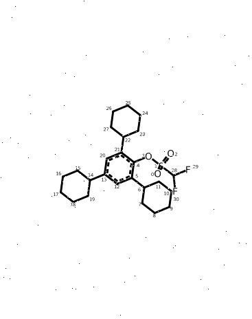 O=S(=O)(Oc1c(C2CCCCC2)cc(C2CCCCC2)cc1C1CCCCC1)C(F)F